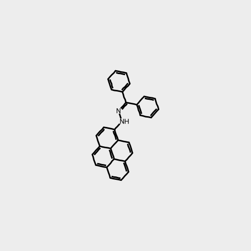 c1ccc(C(=NNc2ccc3ccc4cccc5ccc2c3c45)c2ccccc2)cc1